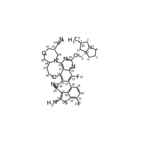 C[C@H]1CN2CCC[C@@]2(COc2nc3c4c(c(Cl)c(-c5ccc(F)c6sc(N)c(C#N)c56)c(F)c4n2)OCCC2COCC(C#N)CN32)C1